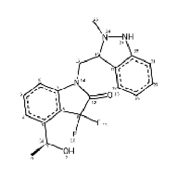 C[C@H](O)c1cccc2c1C(F)(F)C(=O)N2CC1c2ccccc2NN1C